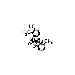 CCCCP(=O)(Oc1cccc(C)c1C)Oc1cccc(C)c1C